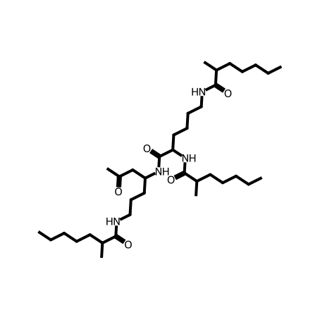 CCCCCC(C)C(=O)NCCCCC(NC(=O)C(C)CCCCC)C(=O)NC(CCCNC(=O)C(C)CCCCC)CC(C)=O